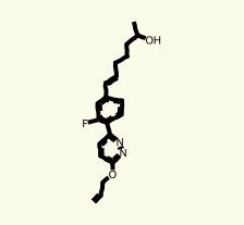 C=CCOc1ccc(-c2ccc(/C=C/CCCC(C)O)cc2F)nn1